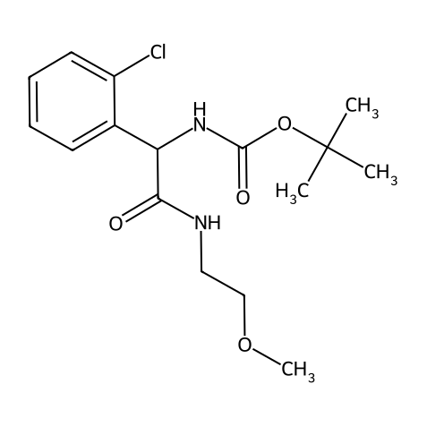 COCCNC(=O)C(NC(=O)OC(C)(C)C)c1ccccc1Cl